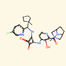 CN1CC2CCC(C1)N2C(=O)c1nccc(Nc2c(N[C@@H](c3ccc(F)cn3)C3(C)CCCC3)c(=O)c2=O)c1O